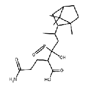 CC(CC(O)(P=O)C(CCC(N)=O)C(=O)O)C1CC2CCC1(C)C2(C)C